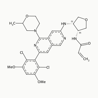 C=CC(=O)N[C@H]1COC[C@H]1Nc1cc2c(N3CCOC(C)C3)nc(-c3c(Cl)c(OC)cc(OC)c3Cl)cc2cn1